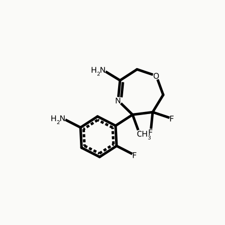 CC1(c2cc(N)ccc2F)N=C(N)COCC1(F)F